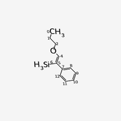 CCCOC=C([SiH3])c1ccccc1